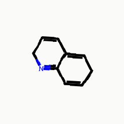 C1=CC2=NCC=CC2=CC1